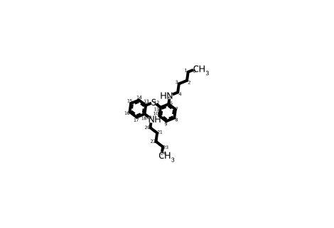 CCCCCNc1ccccc1Sc1ccccc1NCCCCC